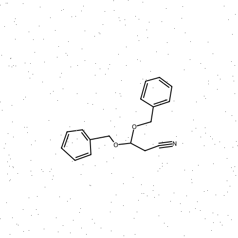 N#CCC(OCc1ccccc1)OCc1ccccc1